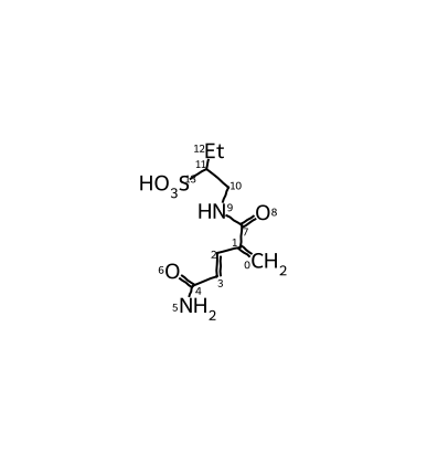 C=C(C=CC(N)=O)C(=O)NCC(CC)S(=O)(=O)O